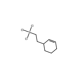 Cl[Si](Cl)(Cl)CCC1C=CCCC1